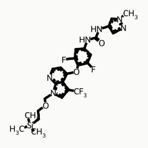 Cn1cc(NC(=O)Nc2cc(F)c(Oc3ccnc4c3c(C(F)(F)F)cn4COCC[Si](C)(C)C)c(F)c2)cn1